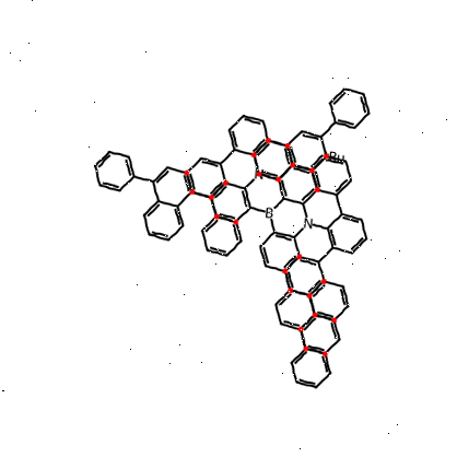 CC(C)(C)c1cc2c3c(c1)N(c1c(-c4cccc(-c5ccccc5)c4)cccc1-c1cccc(-c4ccccc4)c1)c1cc(-c4ccc(-c5ccccc5)c5ccccc45)ccc1B3c1ccc(-c3ccc(-c4ccccc4)c4ccccc34)cc1N2c1c(-c2cccc(-c3ccccc3)c2)cccc1-c1cccc(-c2ccccc2)c1